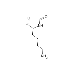 NCCCC[C@@H]([C]=O)NC=O